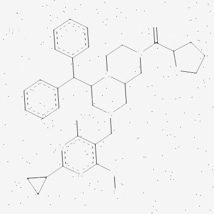 CCOc1nc(C2CC2)nc(OC)c1CN1CC2CN(C(=O)C3CCCO3)CCN2C(C(c2ccccc2)c2ccccc2)C1.Cl.Cl